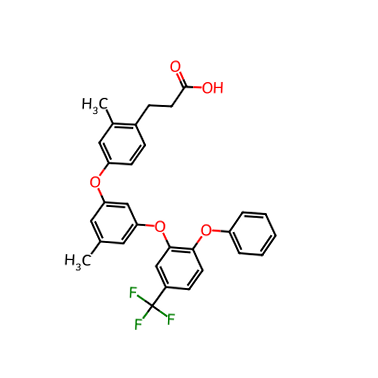 Cc1cc(Oc2ccc(CCC(=O)O)c(C)c2)cc(Oc2cc(C(F)(F)F)ccc2Oc2ccccc2)c1